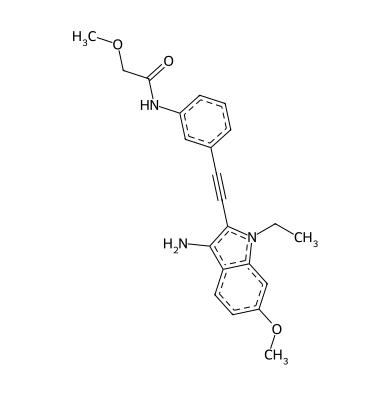 CCn1c(C#Cc2cccc(NC(=O)COC)c2)c(N)c2ccc(OC)cc21